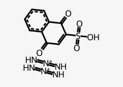 N=[N+]=N.N=[N+]=N.O=C1C=C(S(=O)(=O)O)C(=O)c2ccccc21